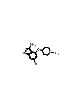 CN1CCC(Oc2cc(Br)cc3[nH]nc(N)c23)CC1